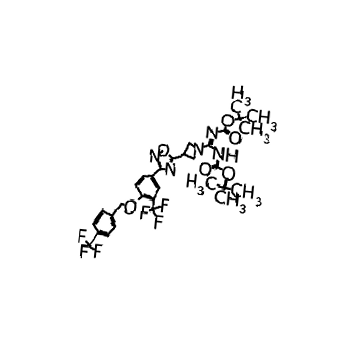 CC(C)(C)OC(=O)/N=C(\NC(=O)OC(C)(C)C)N1CC(c2nc(-c3ccc(OCc4ccc(C(F)(F)F)cc4)c(C(F)(F)F)c3)no2)C1